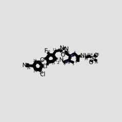 C=C(/C=C(\C(C)=C/N)c1nnc(Cc2ccc(Cl)c(Oc3cc(Cl)cc(C#N)c3)c2F)o1)NCCS(C)(=O)=O